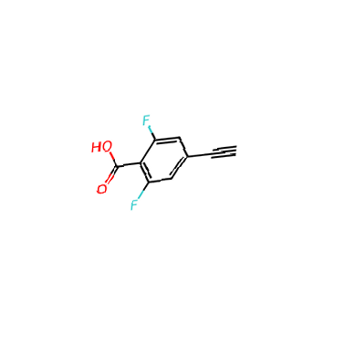 C#Cc1cc(F)c(C(=O)O)c(F)c1